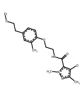 CCOCCc1ccc(OCCNC(=O)c2c(Cl)c(C)nn2C)c(C)c1